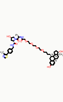 Cc1ncsc1-c1ccc(CNC(=O)[C@@H]2C[C@@H](O)CN2C(=O)C(NC(=O)COCCOCCOCCOCCCC[C@@H]2Cc3cc(O)ccc3[C@H]3CC[C@]4(C)[C@@H](O)CC[C@H]4[C@H]23)C(C)C)cc1